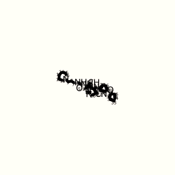 Cc1c(NC(=O)NCCCN2CCCCCC2)cn2ncc(C#N)c(Nc3ccc(Oc4ccccc4)cc3)c12